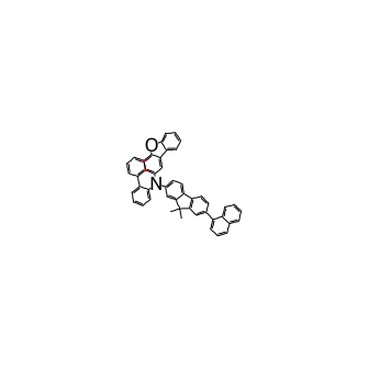 CC1(C)c2cc(-c3cccc4ccccc34)ccc2-c2ccc(N(c3ccc4oc5ccccc5c4c3)c3ccccc3-c3ccccc3)cc21